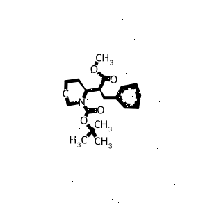 COC(=O)[C@@H](Cc1ccccc1)[C@@H]1CCCCN1C(=O)OC(C)(C)C